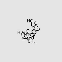 C#CCN1C(=O)COc2cc(F)c(N3C(=O)N(C)C4SC4N(C)C3=O)cc21